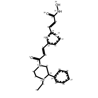 CCN1CCN(C(=O)/C=C/c2cccc(/C=C/C(=O)NO)n2)CC1c1ccccc1